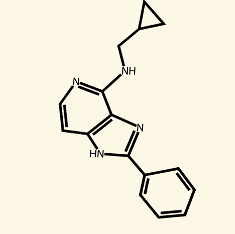 c1ccc(-c2nc3c(NCC4CC4)nccc3[nH]2)cc1